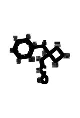 O=C=CC1(Cc2ccccc2)CCC1